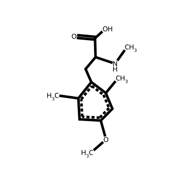 CNC(Cc1c(C)cc(OC)cc1C)C(=O)O